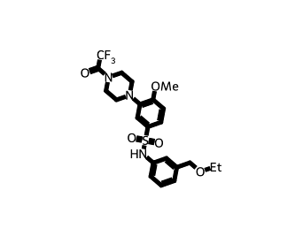 CCOCc1cccc(NS(=O)(=O)c2ccc(OC)c(N3CCN(C(=O)C(F)(F)F)CC3)c2)c1